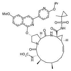 COc1ccc2c(O[C@@H]3C[C@H]4C(=O)N[C@]5(C(=O)NS(=O)(=O)C6(C)CC6)C[C@H]5/C=C\CC[C@@H](C)C[C@@H](C)[C@H](NC(=O)O)C(=O)N4C3)nc(-c3ccc(OC(C)C)nc3)cc2c1